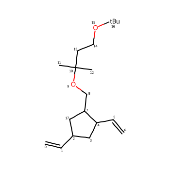 C=CC1CC(C=C)C(COC(C)(C)CCOC(C)(C)C)C1